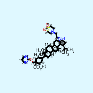 C=C(C)[C@@H]1CC[C@]2(NCCN3CCS(=O)(=O)CC3)CC[C@]3(C)[C@H](CC[C@@H]4[C@@]5(C)CC=C(C6=CCC(COc7ncccn7)(C(=O)OCC)CC6)C(C)(C)[C@@H]5CC[C@]43C)[C@@H]12